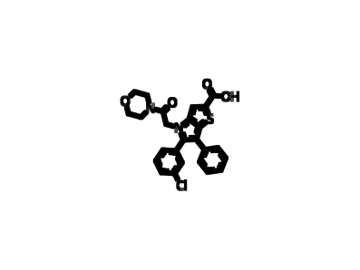 O=C(O)c1cc2c(s1)c(-c1ccccc1)c(-c1cccc(Cl)c1)n2CC(=O)N1CCOCC1